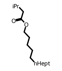 CCCCCCCCCCCCOC(=O)CC(C)C